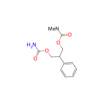 CNC(=O)OCC(COC(N)=O)c1ccccc1